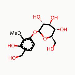 COc1c(OC2O[C@H](CO)[C@@H](O)[C@H](O)[C@H]2O)ccc(CO)c1O